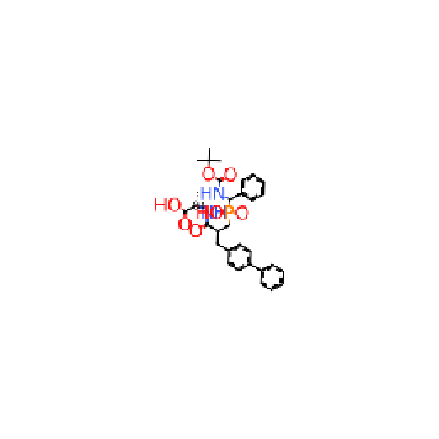 C[C@H](NC(=O)C(Cc1ccc(-c2ccccc2)cc1)CP(=O)(O)C(NC(=O)OC(C)(C)C)c1ccccc1)C(=O)O